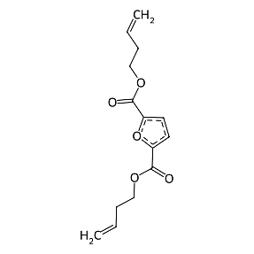 C=CCCOC(=O)c1ccc(C(=O)OCCC=C)o1